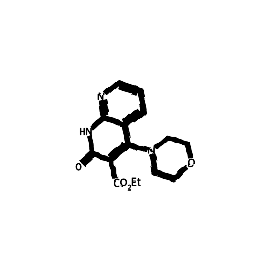 CCOC(=O)c1c(N2CCOCC2)c2cccnc2[nH]c1=O